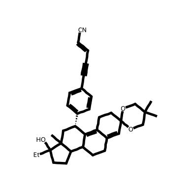 CCC1(O)CCC2C3CCC4=CC5(CCC4=C3[C@@H](c3ccc(C#C/C=C/C#N)cc3)CC21C)OCC(C)(C)CO5